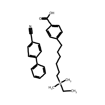 CC[Si](C)(C)CCCCCCc1ccc(C(=O)O)cc1.N#Cc1ccc(-c2ccccc2)cc1